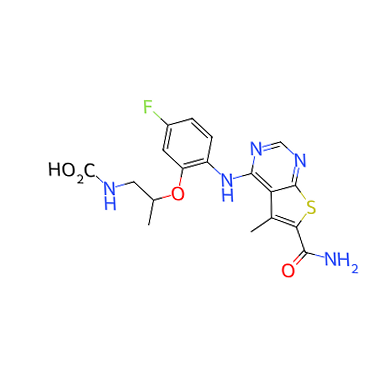 Cc1c(C(N)=O)sc2ncnc(Nc3ccc(F)cc3OC(C)CNC(=O)O)c12